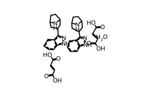 O.O=C(O)C=CC(=O)O.O=C(O)C=CC(=O)O.c1ccc2c(C3CC4CCC(C3)N4)n[nH]c2c1.c1ccc2c(C3CC4CCC(C3)N4)n[nH]c2c1